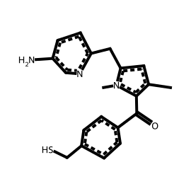 Cc1cc(Cc2ccc(N)cn2)n(C)c1C(=O)c1ccc(CS)cc1